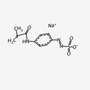 C=C(C)C(=O)Nc1ccc(N=NS(=O)(=O)[O-])cc1.[Na+]